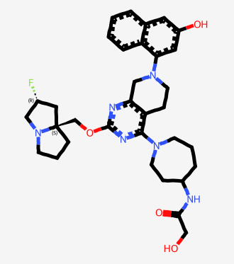 O=C(CO)NC1CCCN(c2nc(OC[C@@]34CCCN3C[C@H](F)C4)nc3c2CCN(c2cc(O)cc4ccccc24)C3)CC1